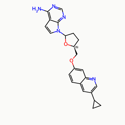 Nc1ncnc2c1ccn2C1CC[C@@H](COc2ccc3cc(C4CC4)cnc3c2)O1